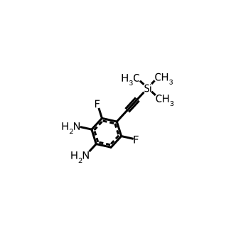 C[Si](C)(C)C#Cc1c(F)cc(N)c(N)c1F